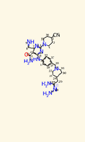 N#CC1CCN(c2nc(C=N)c(C(N)=O)c(Nc3ccc(CN4CCC(C/C(N)=N/N)CC4)cc3)n2)CC1